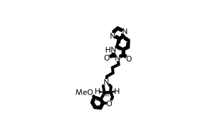 COc1cccc2c1[C@@H]1CN(CCCCn3c(=O)[nH]c4c(ccc5nccnc54)c3=O)C[C@@H]1CO2